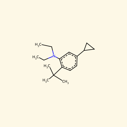 CCN(CC)c1cc(C2CC2)ccc1C(C)(C)C